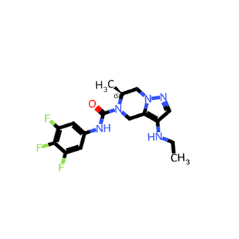 CCNc1cnn2c1CN(C(=O)Nc1cc(F)c(F)c(F)c1)[C@@H](C)C2